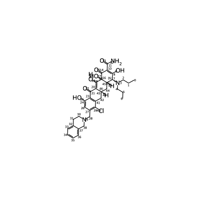 CCCN(CCC)[C@@H]1C(O)=C(C(N)=O)C(=O)[C@@]2(O)C(O)=C3C(=O)c4c(O)cc(CN5CCc6ccccc6C5)c(Cl)c4C[C@H]3C[C@@H]12